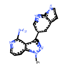 CC(C)n1nc(-c2cnc3[nH]ccc3c2)c2c(N)nccc21